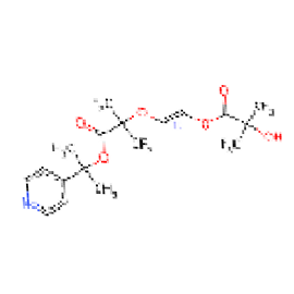 CC(C)(OC(=O)C(O/C=C/OC(=O)C(O)(C(F)(F)F)C(F)(F)F)(C(F)(F)F)C(F)(F)F)c1ccncc1